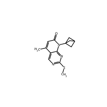 CSc1ncc2c(C)cc(=O)n(C34CC(C3)C4)c2n1